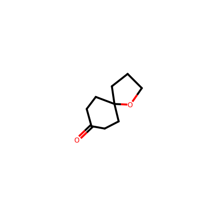 O=C1CCC2(CCCO2)CC1